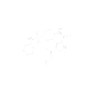 CCOC(=O)c1c[nH]c2c(=O)[nH]c3ccc(S(=O)(=O)Nc4cccc(Cl)c4)cc3c12